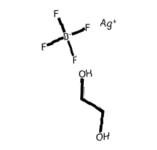 F[B-](F)(F)F.OCCO.[Ag+]